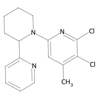 Cc1cc(N2CCCCC2c2ccccn2)nc(Cl)c1Cl